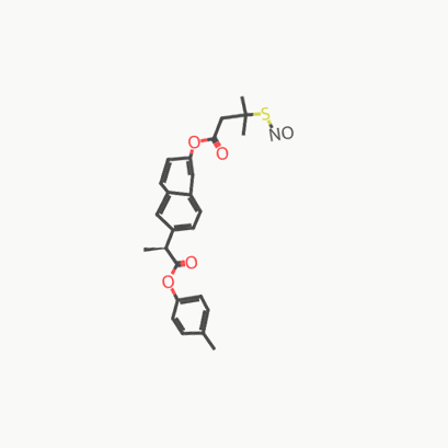 Cc1ccc(OC(=O)[C@@H](C)c2ccc3cc(OC(=O)CC(C)(C)SN=O)ccc3c2)cc1